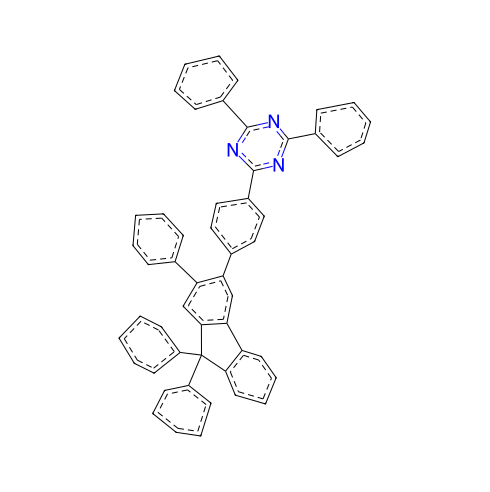 c1ccc(-c2nc(-c3ccccc3)nc(-c3ccc(-c4cc5c(cc4-c4ccccc4)C(c4ccccc4)(c4ccccc4)c4ccccc4-5)cc3)n2)cc1